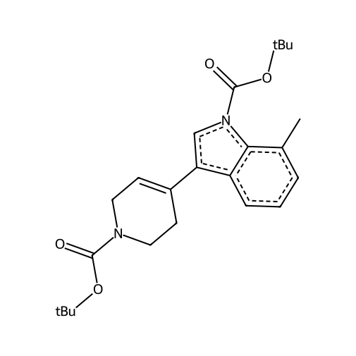 Cc1cccc2c(C3=CCN(C(=O)OC(C)(C)C)CC3)cn(C(=O)OC(C)(C)C)c12